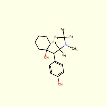 [2H]C([2H])([2H])N(C)C([2H])([2H])C(c1ccc(O)cc1)C1(O)CCCCC1